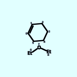 C1=CCCCC1.CCOCC